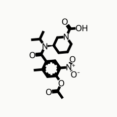 CC(=O)Oc1cc(C)c(C(=O)N(C(C)C)[C@@H]2CCCN(C(=O)O)C2)cc1[N+](=O)[O-]